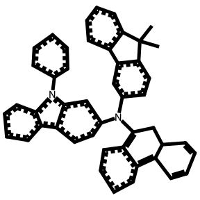 CC1(C)c2ccccc2-c2cc(N(C3=c4ccccc4=C4C=CC=CC4C3)c3ccc4c5ccccc5n(-c5ccccc5)c4c3)ccc21